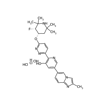 Cc1cn2cc(-c3cnc(-c4ccc(O[C@H]5CC(C)(C)NC(C)(C)[C@H]5F)nn4)c(O)c3)ccc2n1.Cl.Cl.Cl